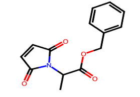 CC(C(=O)OCc1ccccc1)N1C(=O)C=CC1=O